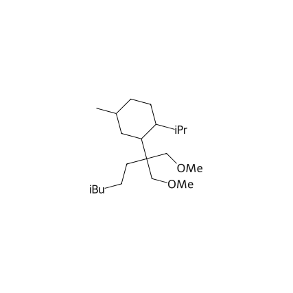 CCC(C)CCC(COC)(COC)C1CC(C)CCC1C(C)C